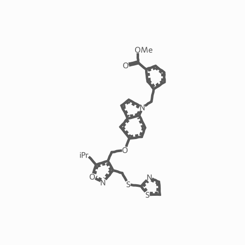 COC(=O)c1cccc(Cn2ccc3cc(OCc4c(CSc5nccs5)noc4C(C)C)ccc32)c1